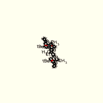 CC[C@@]1(C)c2cc(N(c3ccc(C(C)(C)C)cc3)c3ncc(C)cc3-c3cccc4c3oc3ccccc34)ccc2-c2c1cc(N(c1ccc(C(C)(C)C)cc1)c1ncc(C)cc1-c1cccc3c1oc1ccccc13)c1c2oc2ccccc21